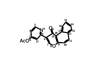 CC(=O)Oc1ccnc(-c2coc3ccc4ccccc4c3c2=O)c1